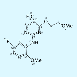 COCCOc1nc(Nc2cc(F)[c]cc2OC)ncc1C(F)(F)F